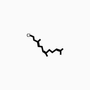 CC(C)=CCC/C(C)=C\C/C=C(\C)CCCl